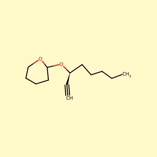 C#C[C@H](CCCCC)OC1CCCCO1